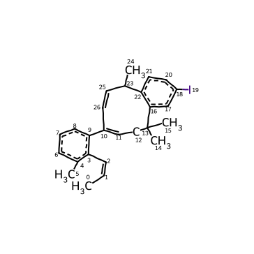 C/C=C\c1c(C)cccc1C1=C/CC(C)(C)c2cc(I)ccc2C(C)/C=C\1